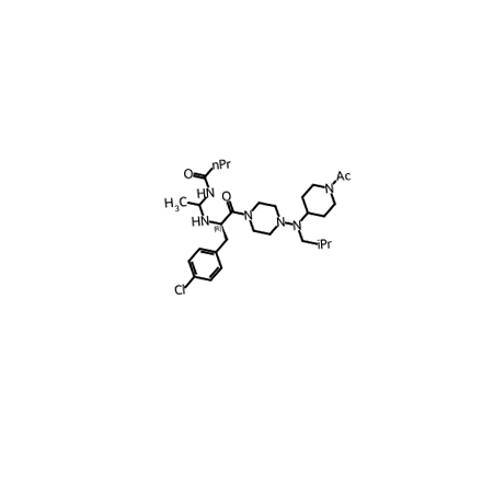 CCCC(=O)NC(C)N[C@H](Cc1ccc(Cl)cc1)C(=O)N1CCN(N(CC(C)C)C2CCN(C(C)=O)CC2)CC1